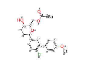 CCCCC(=O)OC[C@H]1OC(c2ccc(Cl)c(-c3ccc(OCC)cc3)c2)CC[C@H]1O